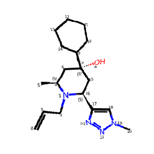 C=CCN1[C@@H](C)C[C@@](O)(C2CCCCC2)C[C@H]1c1cn(C)nn1